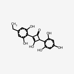 CCc1cc(O)c(C2=C(O)C(c3c(O)cc(O)cc3O)C2=O)c(O)c1